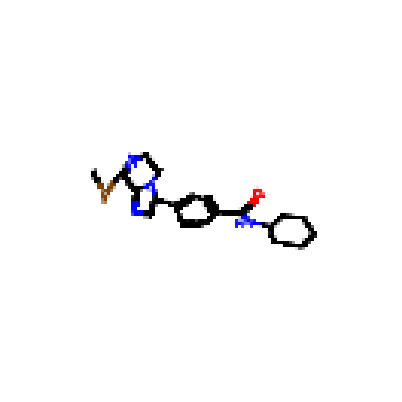 CSc1nccn2c(-c3ccc(C(=O)NC4CCCCC4)cc3)cnc12